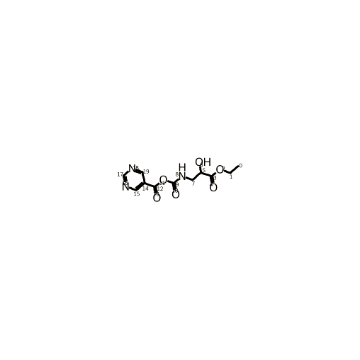 CCOC(=O)C(O)CNC(=O)OC(=O)c1cncnc1